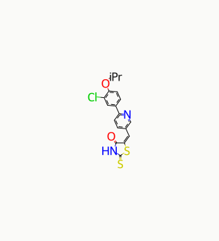 CC(C)Oc1ccc(-c2ccc(C=C3SC(=S)NC3=O)cn2)cc1Cl